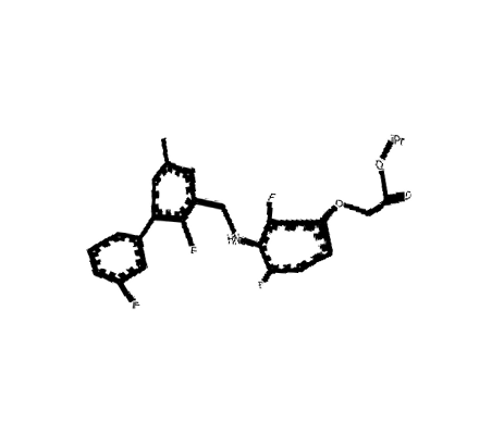 Cc1cc(CNc2c(F)ccc(OCC(=O)OC(C)C)c2F)c(F)c(-c2cccc(F)c2)c1